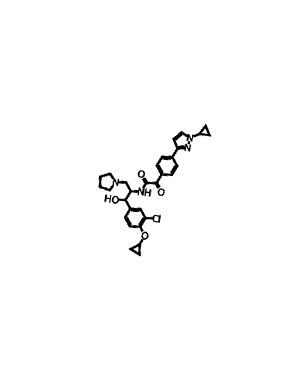 O=C(NC(CN1CCCC1)C(O)c1ccc(OC2CC2)c(Cl)c1)C(=O)c1ccc(-c2ccn(C3CC3)n2)cc1